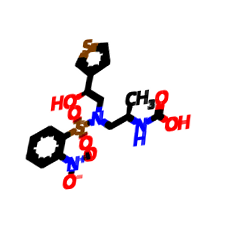 C[C@H](CN(C[C@@H](O)c1ccsc1)S(=O)(=O)c1ccccc1[N+](=O)[O-])NC(=O)O